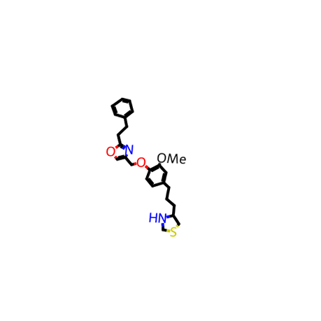 COc1cc(CCCC2CSCN2)ccc1OCc1coc(CCc2ccccc2)n1